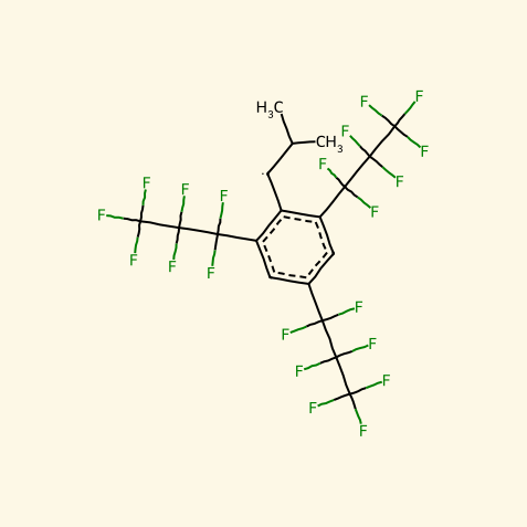 CC(C)[CH]c1c(C(F)(F)C(F)(F)C(F)(F)F)cc(C(F)(F)C(F)(F)C(F)(F)F)cc1C(F)(F)C(F)(F)C(F)(F)F